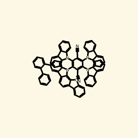 N#Cc1c(-n2c3ccccc3c3ccccc32)c(-n2c3ccccc3c3ccccc32)c(C#N)c(-n2c3ccc(-c4ccccc4-c4ccccc4)cc3c3ccc4c5ccccc5oc4c32)c1-n1c2ccccc2c2ccccc21